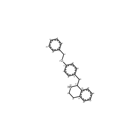 c1ccc(COc2ccc(CC3NCCc4ccccc43)cc2)cc1